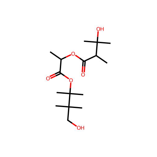 CC(OC(=O)C(C)C(C)(C)O)C(=O)OC(C)(C)C(C)(C)CO